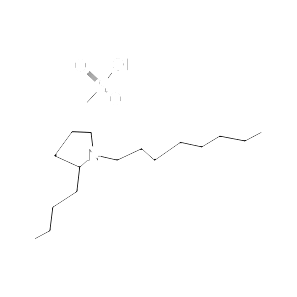 CCCCCCCCN1CCCC1CCCC.CS(=O)(=O)O